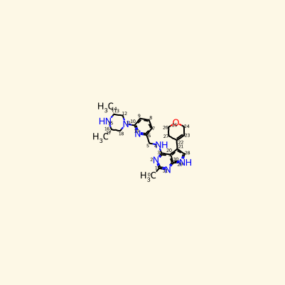 Cc1nc(NCc2cccc(N3C[C@@H](C)N[C@@H](C)C3)n2)c2c(C3=CCOCC3)c[nH]c2n1